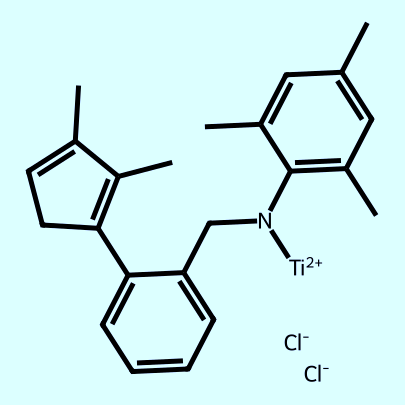 CC1=CCC(c2ccccc2C[N]([Ti+2])c2c(C)cc(C)cc2C)=C1C.[Cl-].[Cl-]